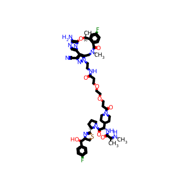 CN[C@@H](C)C(=O)N[C@H](C(=O)N1CCC[C@H]1C1=NC(C(O)c2ccc(F)cc2)CS1)C1CCN(C(=O)CCOCCOCCC(=O)NCCn2nc(C#N)c3c2CN(C)C(=O)c2ccc(F)cc2[C@@H](C)Oc2nc-3cnc2N)CC1